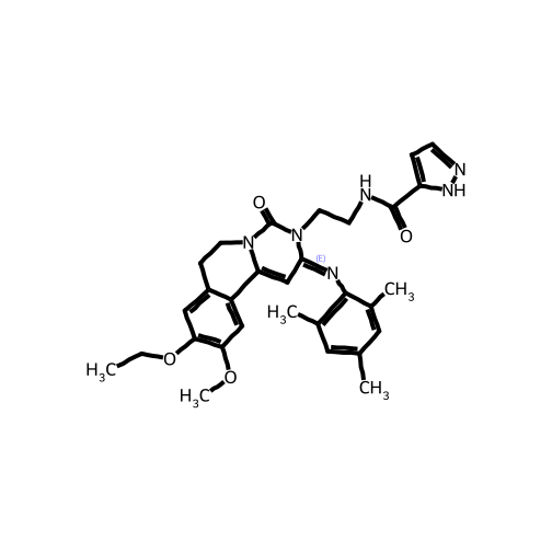 CCOc1cc2c(cc1OC)-c1c/c(=N\c3c(C)cc(C)cc3C)n(CCNC(=O)c3ccn[nH]3)c(=O)n1CC2